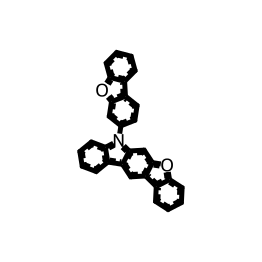 c1ccc2c(c1)oc1cc(-n3c4ccccc4c4cc5c(cc43)oc3ccccc35)ccc12